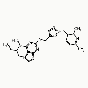 CC1N=C(C(F)(F)F)C=CC1Cn1cc(CNc2nc3c4c(ccn4CC(CC(F)(F)F)N3C)n2)cn1